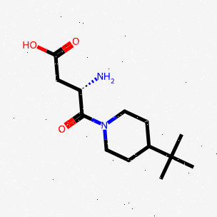 CC(C)(C)C1CCN(C(=O)[C@@H](N)CC(=O)O)CC1